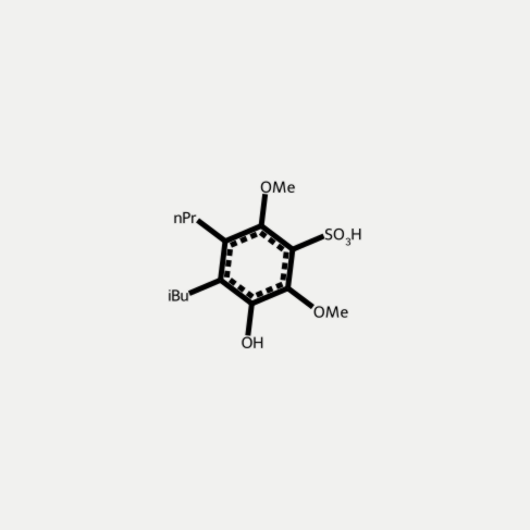 CCCc1c(OC)c(S(=O)(=O)O)c(OC)c(O)c1C(C)CC